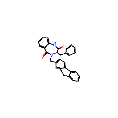 O=C1Nc2ccccc2C(=O)N(Cc2ccc3c(c2)Cc2ccccc2-3)C1Cc1ccccc1